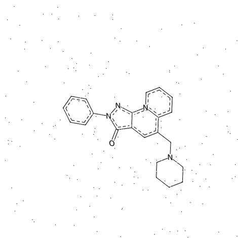 O=c1c2cc(CN3CCCCC3)c3ccccn3c-2nn1-c1ccccc1